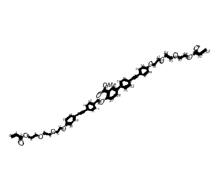 C=CC(=O)OCCOCCOCCOc1ccc(C#Cc2ccc(COc3ccc(-c4ccc(C#Cc5ccc(OCCOCCOCCOC(=O)C=C)cc5)cc4)cc3C(=O)OC)cc2)cc1